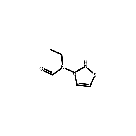 CCN([C]=O)N1C=CSN1